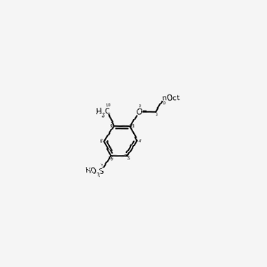 CCCCCCCCCOc1ccc(S(=O)(=O)O)cc1C